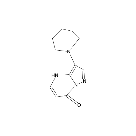 O=c1cc[nH]c2c(N3CCCCC3)cnn12